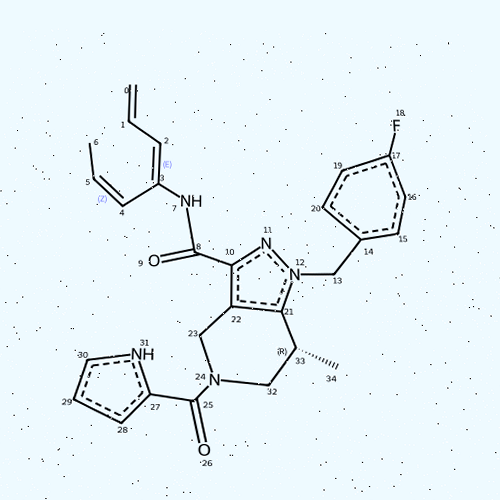 C=C/C=C(\C=C/C)NC(=O)c1nn(Cc2ccc(F)cc2)c2c1CN(C(=O)c1ccc[nH]1)C[C@H]2C